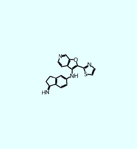 N=C1CCc2cc(Nc3c(-c4nccs4)oc4cnccc34)ccc21